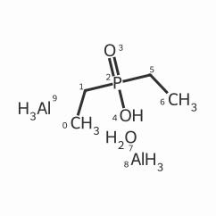 CCP(=O)(O)CC.O.[AlH3].[AlH3]